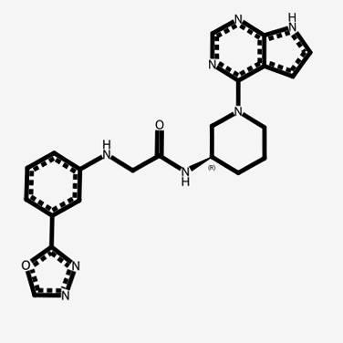 O=C(CNc1cccc(-c2nnco2)c1)N[C@@H]1CCCN(c2ncnc3[nH]ccc23)C1